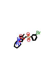 Cc1ccc(N2C3CCC2CN(C(=O)CCS(=O)(=O)c2cccc(Br)c2)C3)nc1